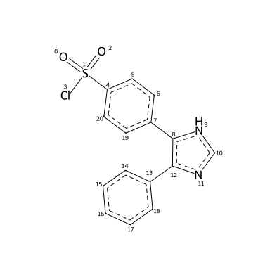 O=S(=O)(Cl)c1ccc(-c2[nH]cnc2-c2ccccc2)cc1